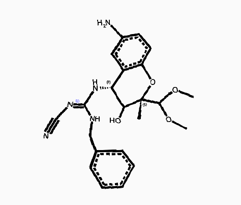 COC(OC)[C@@]1(C)Oc2ccc(N)cc2[C@@H](N/C(=N/C#N)NCc2ccccc2)C1O